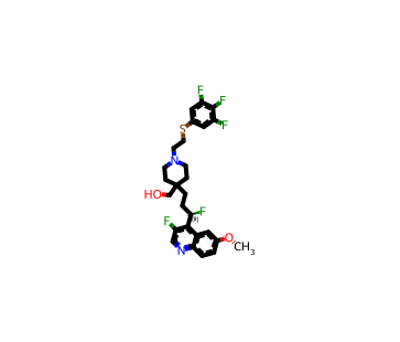 COc1ccc2ncc(F)c([C@H](F)CCC3(CO)CCN(CCSc4cc(F)c(F)c(F)c4)CC3)c2c1